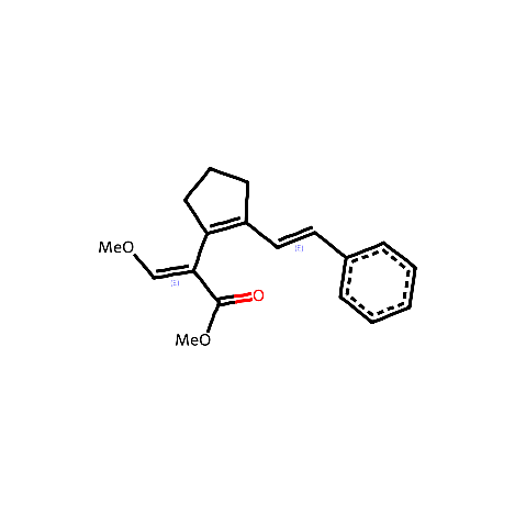 CO/C=C(/C(=O)OC)C1=C(/C=C/c2ccccc2)CCC1